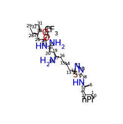 C=CC(CCC)CC(=C)NCc1nnc(CCCC/C(N)=C/C=C(\N)NC(=O)CC(=C/C)/C(=C\C)OC(F)(F)F)s1